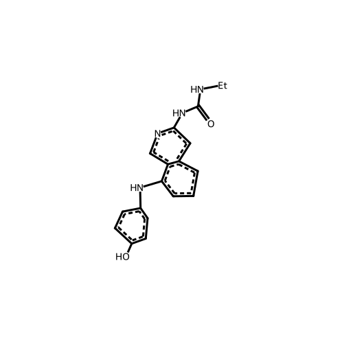 CCNC(=O)Nc1cc2cccc(Nc3ccc(O)cc3)c2cn1